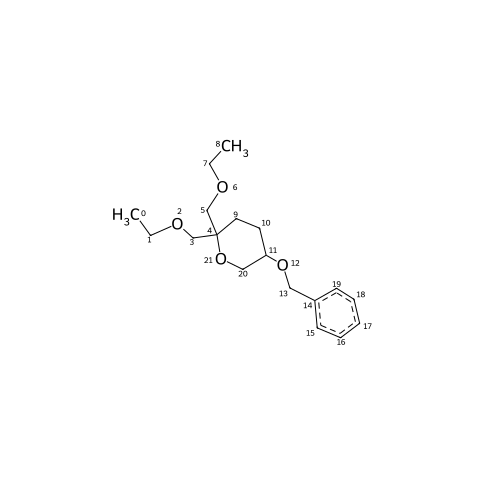 CCOCC1(COCC)CCC(OCc2ccccc2)CO1